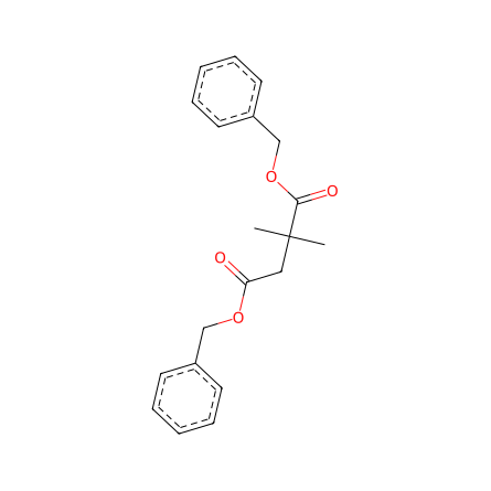 CC(C)(CC(=O)OCc1ccccc1)C(=O)OCc1ccccc1